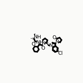 CN[C@@H](C)C(=O)N[C@H](C(=O)N1CCC[C@H]1Cn1cc(N2CCCC2=O)c2cc(Cl)ccc21)C1CCCCC1